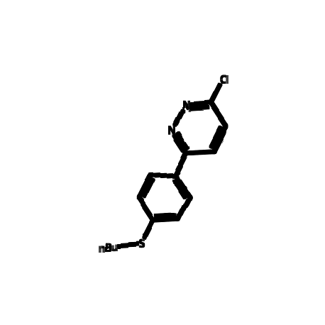 CCCCSc1ccc(-c2ccc(Cl)nn2)cc1